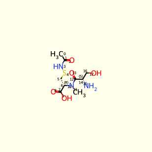 CC(=O)NSC[C@@H](C(=O)O)N(C)C(=O)[C@@H](N)CO